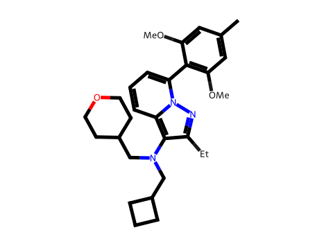 CCc1nn2c(-c3c(OC)cc(C)cc3OC)cccc2c1N(CC1CCC1)CC1CCOCC1